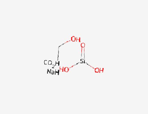 O=C(O)CO.O=[Si](O)O.[NaH]